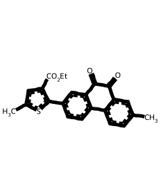 CCOC(=O)c1cc(C)sc1-c1ccc2c(c1)C(=O)C(=O)c1cc(C)ccc1-2